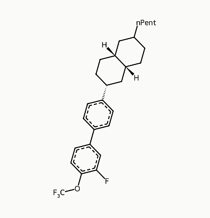 CCCCCC1CC[C@@H]2C[C@H](c3ccc(-c4ccc(OC(F)(F)F)c(F)c4)cc3)CC[C@@H]2C1